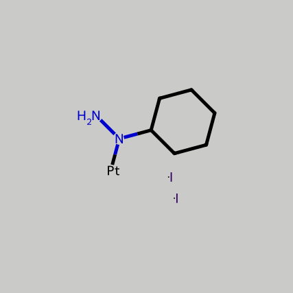 N[N]([Pt])C1CCCCC1.[I].[I]